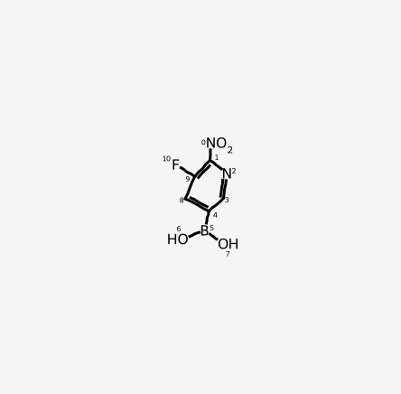 O=[N+]([O-])c1ncc(B(O)O)cc1F